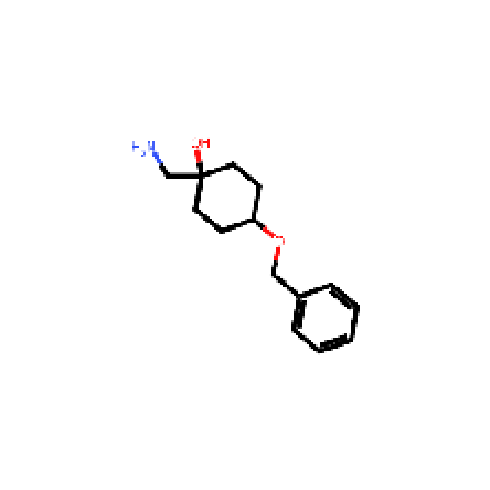 NCC1(O)CCC(OCc2ccccc2)CC1